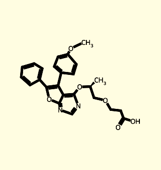 COc1ccc(-c2c(-c3ccccc3)oc3ncnc(O[C@@H](C)COCCC(=O)O)c23)cc1